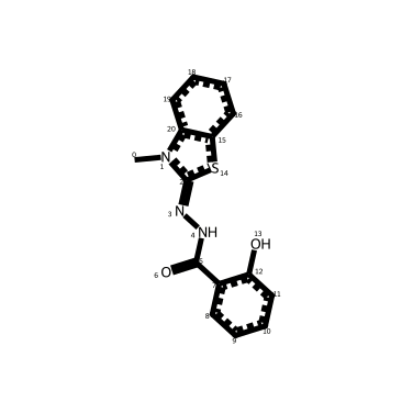 Cn1/c(=N/NC(=O)c2ccccc2O)sc2ccccc21